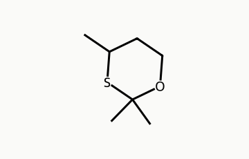 CC1CCOC(C)(C)S1